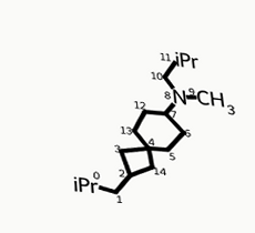 CC(C)CC1CC2(CCC(N(C)CC(C)C)CC2)C1